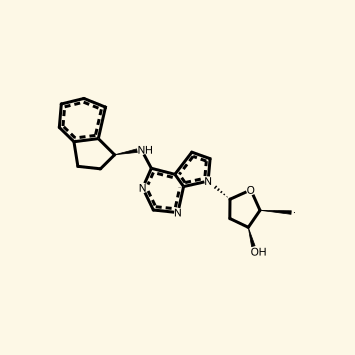 [CH2][C@@H]1O[C@@H](n2ccc3c(N[C@H]4CCc5ccccc54)ncnc32)C[C@@H]1O